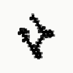 CNC(CNC(=O)CCCCC(=O)CC(Cc1ccccc1)C(=O)OCCCCCOC(=O)C(Cc1ccccc1)NC(=O)CCCCCCC(C)=O)C(=O)O